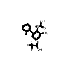 Cc1cccc(-c2ccccc2F)c1NC(=O)O.O=C(O)C(F)(F)F